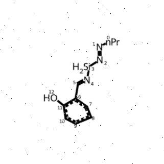 CCCN=N[SiH2]N=Cc1ccccc1O